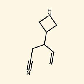 C=CC(CC#N)C1CNC1